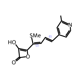 CS/C(=C\C=C\c1ccnc(C)c1)C1=C(O)C(=O)O1